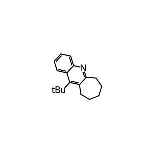 CC(C)(C)c1c2c(nc3ccccc13)CCCCC2